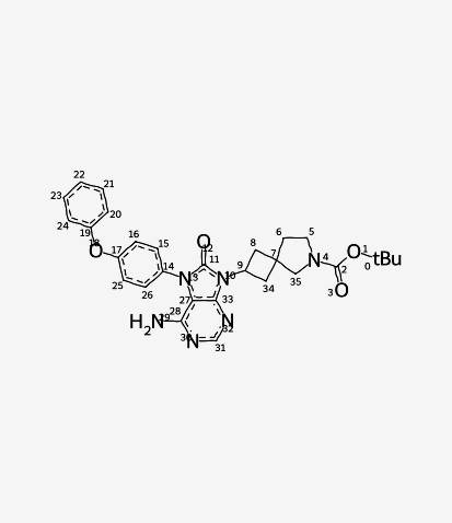 CC(C)(C)OC(=O)N1CCC2(CC(n3c(=O)n(-c4ccc(Oc5ccccc5)cc4)c4c(N)ncnc43)C2)C1